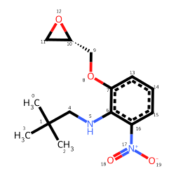 CC(C)(C)CNc1c(OC[C@@H]2CO2)cccc1[N+](=O)[O-]